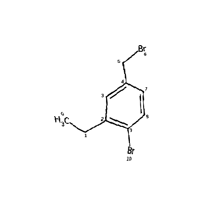 CCc1cc(CBr)ccc1Br